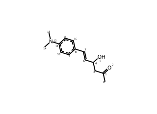 CC(=O)CC(O)C=Cc1ccc(N(C)C)cc1